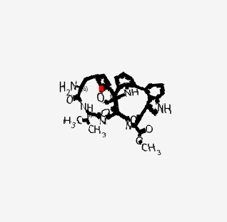 COC(=O)c1nc2oc1-c1c[nH]c3cccc(c13)-c1cccc3c1NC1Oc4ccc5cc4[C@]31c1oc(nc1-2)[C@H](C(C)C)NC(=O)[C@@H](N)C5